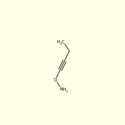 CCC#CON